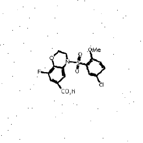 COc1ccc(Cl)cc1S(=O)(=O)N1CCOc2c(F)cc(C(=O)O)cc21